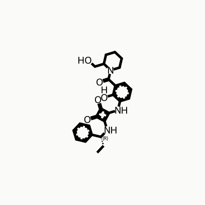 CC[C@@H](Nc1c(Nc2cccc(C(=O)N3CCCCC3CO)c2O)c(=O)c1=O)c1ccccc1